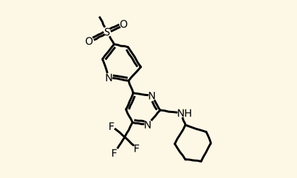 CS(=O)(=O)c1ccc(-c2cc(C(F)(F)F)nc(NC3CCCCC3)n2)nc1